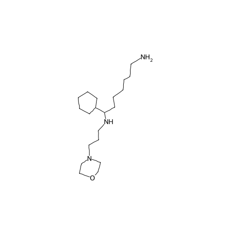 NCCCCCCC(NCCCN1CCOCC1)C1CCCCC1